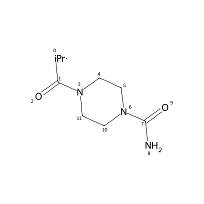 C[C](C)C(=O)N1CCN(C(N)=O)CC1